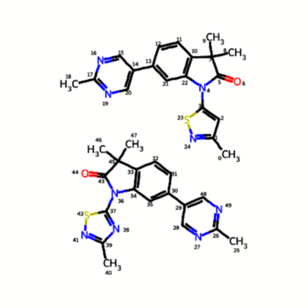 Cc1cc(N2C(=O)C(C)(C)c3ccc(-c4cnc(C)nc4)cc32)sn1.Cc1ncc(-c2ccc3c(c2)N(c2nc(C)ns2)C(=O)C3(C)C)cn1